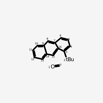 C=O.CC(C)(C)c1cccc2cc3ccccc3cc12